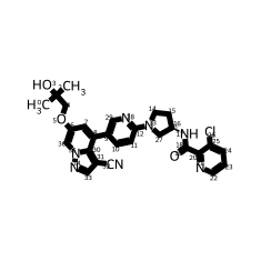 CC(C)(O)COc1cc(-c2ccc(N3CC[C@H](NC(=O)c4ncccc4Cl)C3)nc2)c2c(C#N)cnn2c1